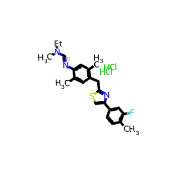 CCN(C)/C=N/c1cc(C)c(Cc2nc(-c3ccc(C)c(F)c3)cs2)cc1C.Cl.Cl